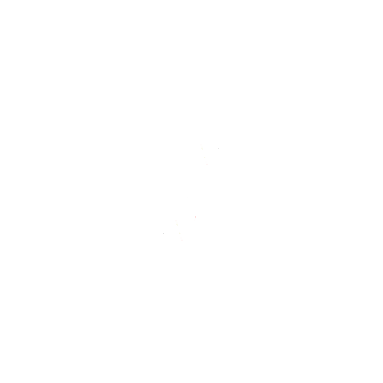 O=S(=O)(O[C@H]1COC2C1OC[C@H]2OS(=O)(=O)C(F)(F)F)C(F)(F)F